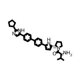 CC(C)[C@@H](N)C(=O)N1CCC[C@H]1c1ccc(-c2ccc(-c3ccc(-c4cnc(C5CCCC5)[nH]4)cc3)cc2)[nH]1